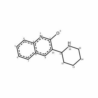 [O]c1nc2ccccc2cc1C1CCCCN1